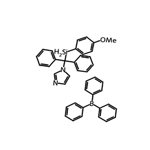 COc1ccc([SiH2]C(c2ccccc2)(c2ccccc2)n2ccnc2)cc1.c1ccc(B(c2ccccc2)c2ccccc2)cc1